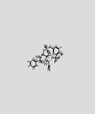 N#CCNC(=O)[C@H](CS(=O)(=O)Cc1ccc(F)c(C(F)(F)F)c1)NC(=O)c1ccccc1